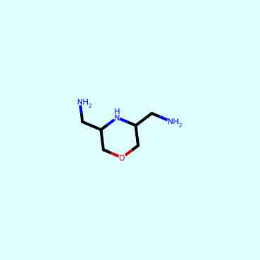 NCC1COCC(CN)N1